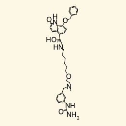 CN(CCOCCCCCCNC[C@H](O)c1ccc(OCc2ccccc2)c2[nH]c(=O)ccc12)Cc1cccc(NC(N)=O)c1